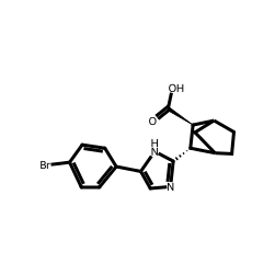 O=C(O)[C@H]1C2CCC(C2)[C@@H]1c1ncc(-c2ccc(Br)cc2)[nH]1